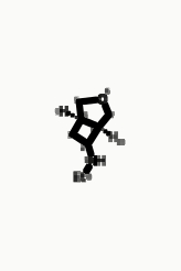 CCNC1C[C@H]2COC[C@@H]12